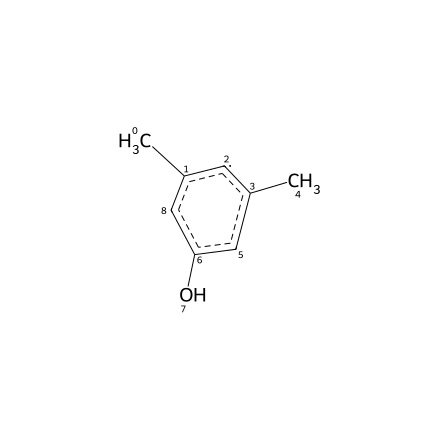 Cc1[c]c(C)cc(O)c1